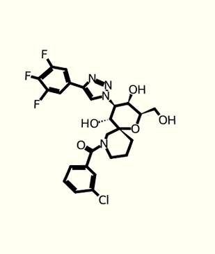 O=C(c1cccc(Cl)c1)N1CCC[C@]2(C1)O[C@H](CO)[C@H](O)[C@H](n1cc(-c3cc(F)c(F)c(F)c3)nn1)[C@H]2O